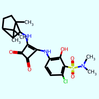 CN(C)S(=O)(=O)c1c(Cl)ccc(Nc2c(NC3CC4CCC3(C)C4(C)C)c(=O)c2=O)c1O